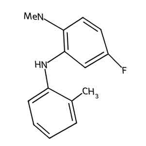 CNc1ccc(F)cc1Nc1ccccc1C